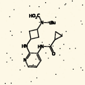 CC(C)(C)N(C(=O)O)C1CC(Nc2ncccc2NC(=O)C2CC2)C1